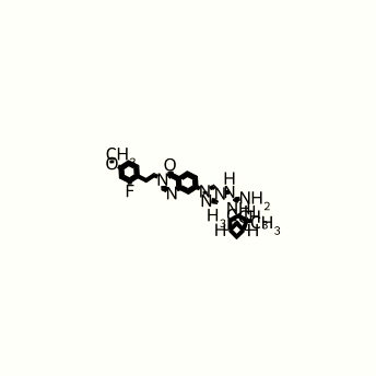 COc1ccc(CCn2cnc3cc(N4CN(NC(N)=N[C@H]5C[C@@H]6C[C@H]([C@@H]5C)C6(C)C)C=N4)ccc3c2=O)c(F)c1